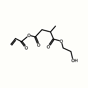 C=CC(=O)OC(=O)CC(C)C(=O)OCCO